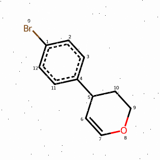 Brc1ccc(C2C=COCC2)cc1